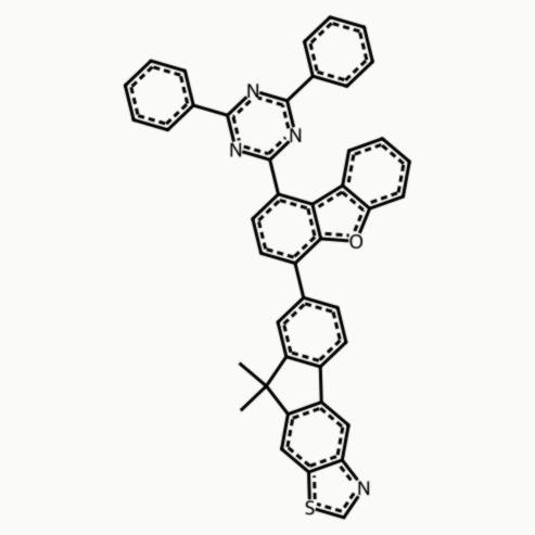 CC1(C)c2cc(-c3ccc(-c4nc(-c5ccccc5)nc(-c5ccccc5)n4)c4c3oc3ccccc34)ccc2-c2cc3ncsc3cc21